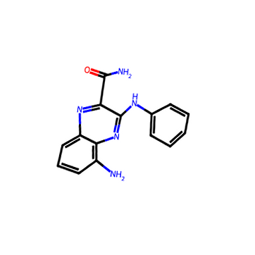 NC(=O)c1nc2cccc(N)c2nc1Nc1ccccc1